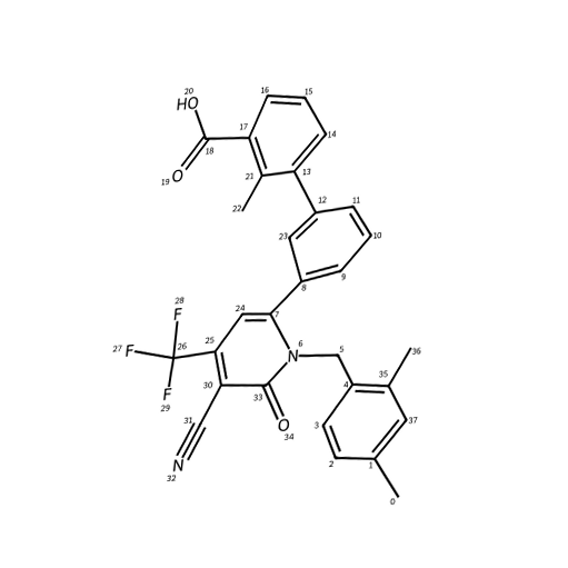 Cc1ccc(Cn2c(-c3cccc(-c4cccc(C(=O)O)c4C)c3)cc(C(F)(F)F)c(C#N)c2=O)c(C)c1